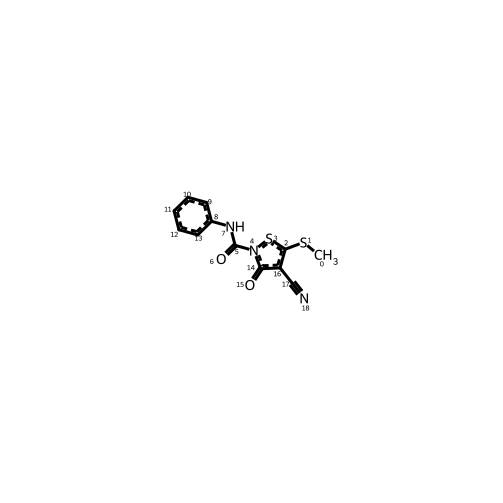 CSc1sn(C(=O)Nc2ccccc2)c(=O)c1C#N